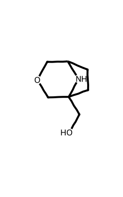 OCC12CCC(COC1)N2